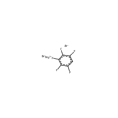 Fc1cc(F)c(F)c(F)c1F.[Br-].[Br-].[Mg+2]